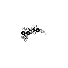 CCCc1nc(CC)c(-c2ccc(OC)cc2)c(=O)n1Cc1ccc(-c2ccccc2-c2noc(=O)[nH]2)cc1